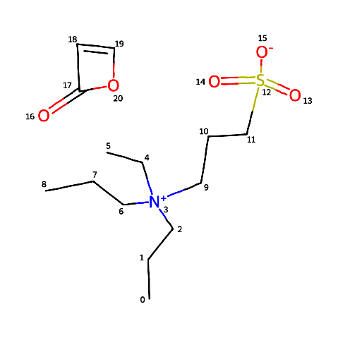 CCC[N+](CC)(CCC)CCCS(=O)(=O)[O-].O=C1C=CO1